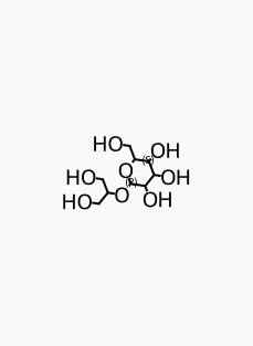 OCC(CO)O[C@@H]1OC(CO)[C@@H](O)C(O)C1O